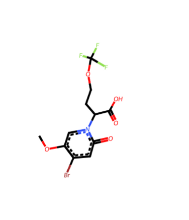 COc1cn(C(CCOC(F)(F)F)C(=O)O)c(=O)cc1Br